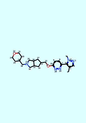 Cc1cnn(C)c1-c1ccc(OCC2CC3CN(CC4CCOCC4)CC3C2)nn1